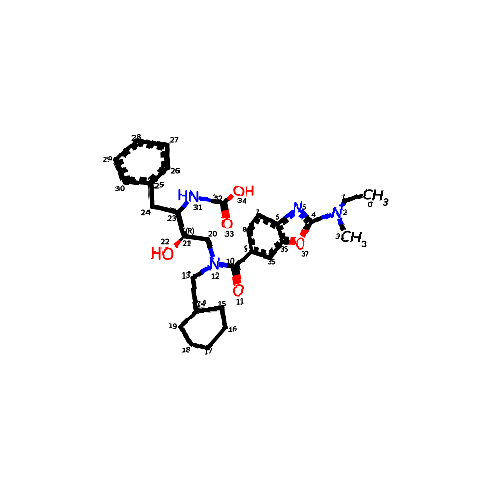 CCN(C)c1nc2ccc(C(=O)N(CC3CCCCC3)C[C@@H](O)C(Cc3ccccc3)NC(=O)O)cc2o1